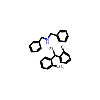 CCC(c1ccccc1C)c1ccccc1C.c1ccc(CNCc2ccccc2)cc1